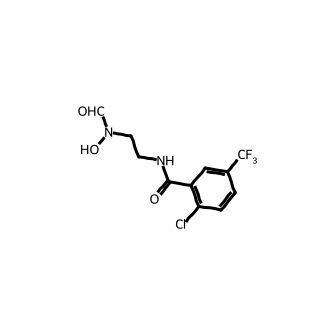 O=CN(O)CCNC(=O)c1cc(C(F)(F)F)ccc1Cl